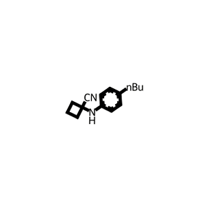 CCCCc1ccc(NC2(C#N)CCC2)cc1